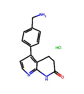 Cl.NCc1ccc(-c2ccnc3c2CCC(=O)N3)cc1